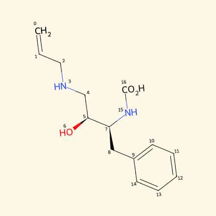 C=CCNC[C@H](O)[C@H](Cc1ccccc1)NC(=O)O